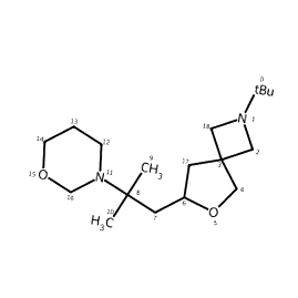 CC(C)(C)N1CC2(COC(CC(C)(C)N3CCCOC3)C2)C1